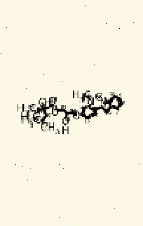 COC1=C(C2Cc3ccccc3N2C)C=CC(OCC(O)COC(=O)C(C)(CC(C)C)C(C)C)C1